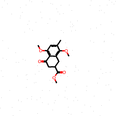 COC(=O)C1CC(=O)c2c(OC)cc(C)c(OC)c2C1